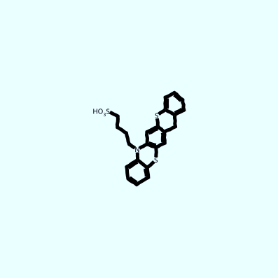 O=S(=O)(O)CCCCN1c2ccccc2Sc2cc3c(cc21)Sc1ccccc1C3